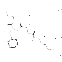 C[C@@H](NC(=O)[C@H](N)CCCCN)C(=O)N[C@@H](Cc1ccccc1)C(=O)N[C@@H](CC(=O)O)C(=O)O